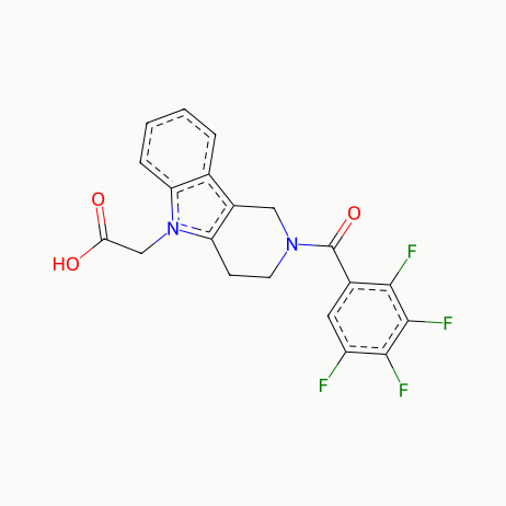 O=C(O)Cn1c2c(c3ccccc31)CN(C(=O)c1cc(F)c(F)c(F)c1F)CC2